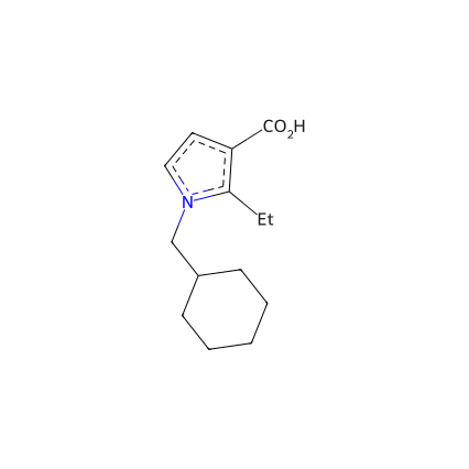 CCc1c(C(=O)O)ccn1CC1CCCCC1